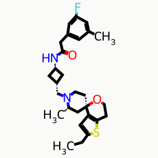 CCc1cc2c(s1)CCO[C@@]21CCN(C[C@H]2C[C@@H](NC(=O)Cc3cc(C)cc(F)c3)C2)[C@@H](C)C1